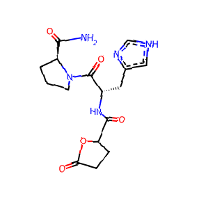 NC(=O)[C@@H]1CCCN1C(=O)[C@H](Cc1c[nH]cn1)NC(=O)C1CCC(=O)O1